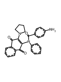 Nc1ccc(C(=O)N(C2=C(N3CCCC3)C(=O)c3ccccc3C2=O)c2ccccc2)cc1